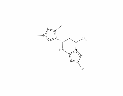 Cc1nn(C)cc1[C@@H]1CC(C(F)(F)F)n2nc(Br)cc2N1